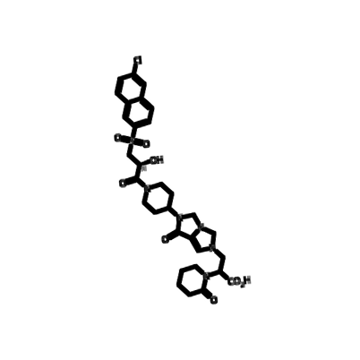 O=C(O)C(CN1C=C2C(=O)N(C3CCN(C(=O)[C@H](O)CS(=O)(=O)c4ccc5cc(Cl)ccc5c4)CC3)CN2C1)N1CCCCC1=O